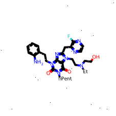 CCCCCn1c(=O)c2c(nc(Cc3nccnc3F)n2CCN(CC)CCO)n(CCc2ccccc2N)c1=O